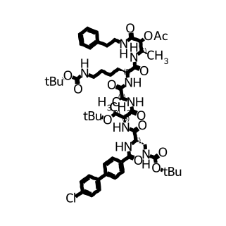 CC(=O)OC(C(=O)NCCc1ccccc1)[C@H](C)NC(=O)[C@H](CCCCNC(=O)OC(C)(C)C)NC(=O)[C@H](C)NC(=O)[C@@H](NC(=O)[C@H](CNC(=O)OC(C)(C)C)NC(=O)c1ccc(-c2ccc(Cl)cc2)cc1)[C@@H](C)OC(C)(C)C